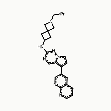 CC(C)CN1CC2(CC(Nc3ncc4c(-c5cnc6ncccc6c5)ccn4n3)C2)C1